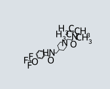 CN(C(=O)CN1CCC(CNC(=O)c2cccc(OC(F)(F)F)c2)CC1)C(C)(C)C